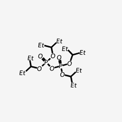 CCC(CC)OP(=O)(OC(CC)CC)OP(=O)(OC(CC)CC)OC(CC)CC